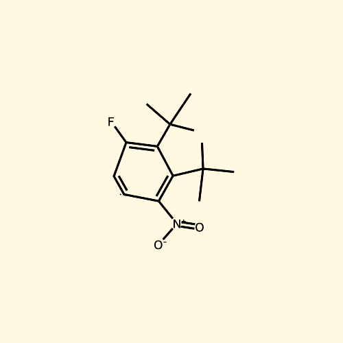 CC(C)(C)c1c([N+](=O)[O-])[c]cc(F)c1C(C)(C)C